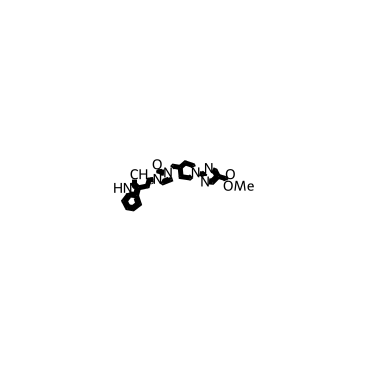 COC(=O)c1cnc(N2CCC(Cn3ccn(CCc4c(C)[nH]c5ccccc45)c3=O)CC2)nc1